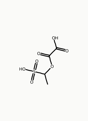 CC(OC(=O)C(=O)O)S(=O)(=O)O